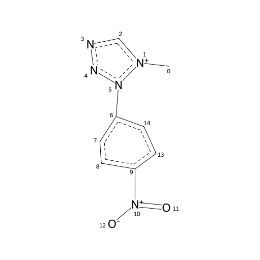 C[n+]1cnnn1-c1ccc([N+](=O)[O-])cc1